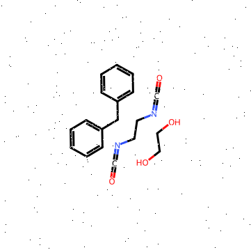 O=C=NCCN=C=O.OCCO.c1ccc(Cc2ccccc2)cc1